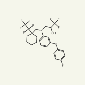 OC(CN(CC1(C(F)(F)C(F)(F)F)CCCCC1)c1cccc(Oc2ccc(F)cc2)c1)C(F)(F)F